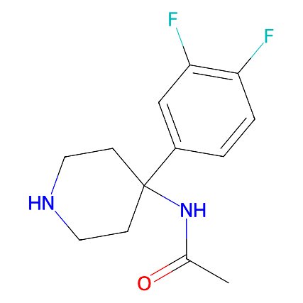 CC(=O)NC1(c2ccc(F)c(F)c2)CCNCC1